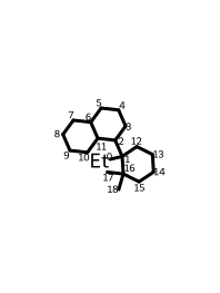 CCC1(C2CCCC3CCCCC32)CCCCC1(C)C